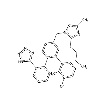 CCCCc1nc(C)cn1Cc1ccc(-c2ccccc2-c2nnn[nH]2)c(-c2ccc[n+]([O-])c2C)c1